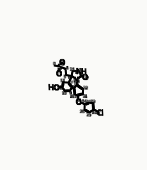 CS(=O)(=O)CCC1(c2cccc(O)c2)CNC(=O)N1c1ccc(Oc2ccc(Cl)cc2)cc1